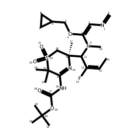 C=N/C=C(/OCC1CC1)N(C)C(/C(F)=C\C)[C@]1(C)CS(=O)(=O)C(C)(C)C(NC(=O)OC(C)(C)C)=N1